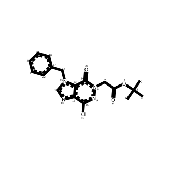 CC(C)(C)OC(=O)Cn1nc(Cl)c2ncn(Cc3ccccc3)c2c1=O